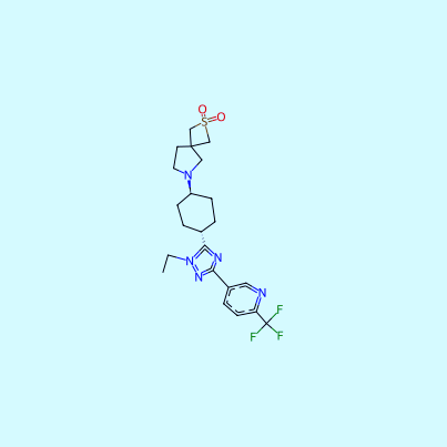 CCn1nc(-c2ccc(C(F)(F)F)nc2)nc1[C@H]1CC[C@H](N2CCC3(C2)CS(=O)(=O)C3)CC1